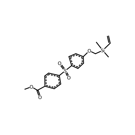 C=C[Si](C)(C)COc1ccc(S(=O)(=O)c2ccc(C(=O)OC)cc2)cc1